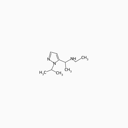 CCNC(C)c1ccnn1C(C)C